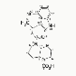 CC(CC(=O)N1CCCC2C(C(=O)O)CCCC21)c1c[nH]c2cccc(C#N)c12